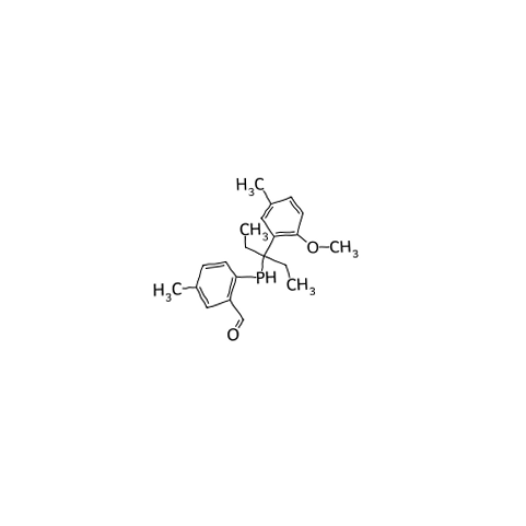 CCC(CC)(Pc1ccc(C)cc1C=O)c1cc(C)ccc1OC